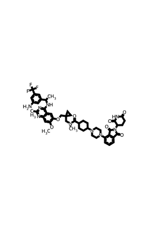 COc1cc2nc(C)nc(NC(C)c3cc(N)cc(C(F)(F)F)c3)c2cc1OCC1(CN(C)C(=O)C2CCC(N3CCN(c4cccc5c4C(=O)N(C4CCC(=O)NC4=O)C5=O)CC3)CC2)CC1